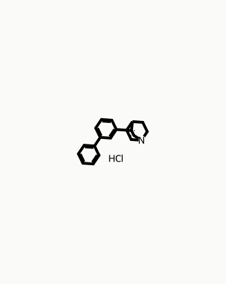 Cl.[CH]1[C](c2cccc(-c3ccccc3)c2)C2CCN1CC2